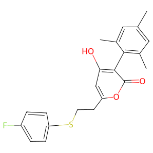 Cc1cc(C)c(-c2c(O)cc(CCSc3ccc(F)cc3)oc2=O)c(C)c1